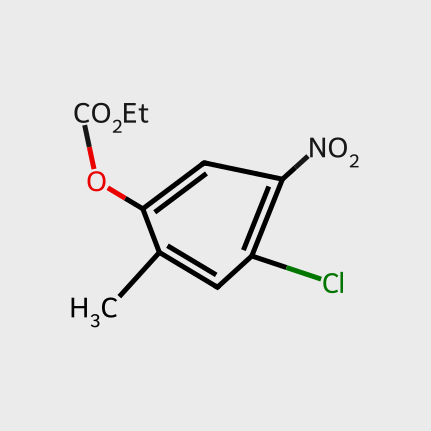 CCOC(=O)Oc1cc([N+](=O)[O-])c(Cl)cc1C